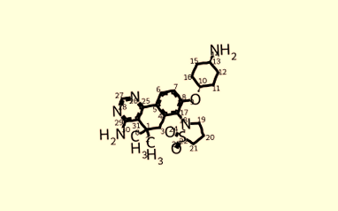 CC1(C)Cc2c(ccc(O[C@H]3CC[C@H](N)CC3)c2N2CCCS2(=O)=O)-c2ncnc(N)c21